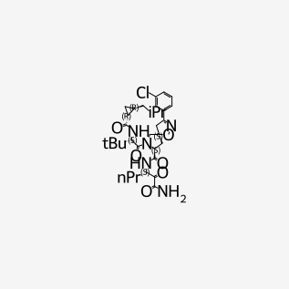 CCC[C@H](NC(=O)[C@@H]1C[C@]2(CC(c3cccc(Cl)c3)=NO2)CN1C(=O)[C@@H](NC(=O)[C@@H]1C[C@H]1CC(C)C)C(C)(C)C)C(=O)C(N)=O